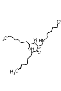 CCCCCCNC[C@H](NC(=O)CCCCCC)C(=O)NCCCCCC